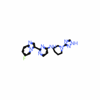 Fc1ccc2ncc(-c3nccc(N[C@@H]4CCCN(c5nc[nH]n5)C4)n3)n2c1